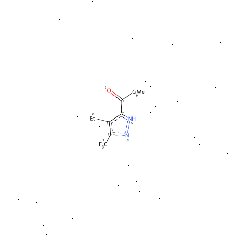 CCc1c(C(F)(F)F)n[nH]c1C(=O)OC